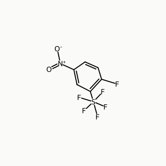 O=[N+]([O-])c1ccc(F)c(S(F)(F)(F)(F)F)c1